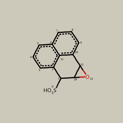 O=S(=O)(O)C1c2cccc3cccc(c23)C2OC21